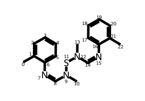 Cc1ccccc1/N=C\N(C)SN(C)/C=N\c1ccccc1C